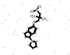 CCN(CC)CC(C)(C)COc1ccc2c(c1)CCC2N1CCCC1